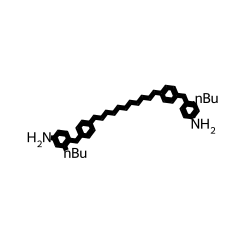 CCCCc1cc(N)ccc1Cc1ccc(CCCCCCCCCCCc2ccc(Cc3ccc(N)cc3CCCC)cc2)cc1